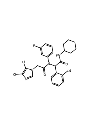 N#Cc1ccccc1C(C(=O)NC1CCCCC1)N(C(=O)Cn1cnc(Cl)c1Cl)c1cccc(F)c1